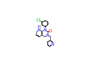 O=C1N(Cc2cccnc2)CC2=C(NCC=C2)N1c1cccc(Cl)c1